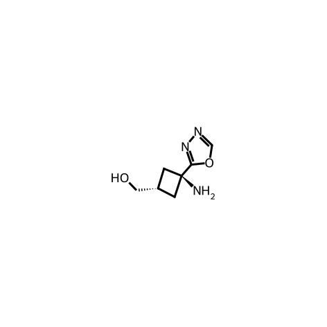 N[C@]1(c2nnco2)C[C@@H](CO)C1